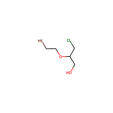 OCC(CCl)OCCS